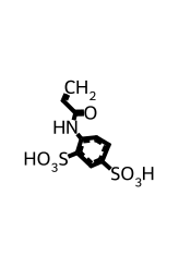 C=CC(=O)Nc1ccc(S(=O)(=O)O)cc1S(=O)(=O)O